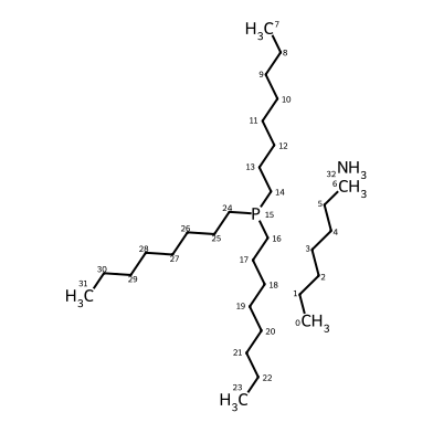 CCCCCCC.CCCCCCCCP(CCCCCCCC)CCCCCCCC.N